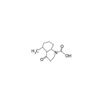 CC1CCCC2C1C(=O)CCN2C(=O)O